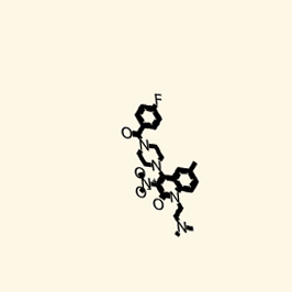 Cc1ccc2c(c1)c(N1CCN(C(=O)c3ccc(F)cc3)CC1)c([N+](=O)[O-])c(=O)n2CCN(C)C